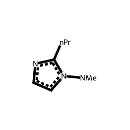 CCCc1nccn1NC